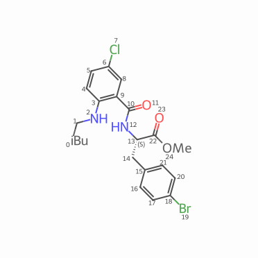 CCC(C)CNc1ccc(Cl)cc1C(=O)N[C@@H](Cc1ccc(Br)cc1)C(=O)OC